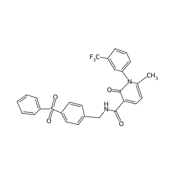 Cc1ccc(C(=O)NCc2ccc(S(=O)(=O)c3ccccc3)cc2)c(=O)n1-c1cccc(C(F)(F)F)c1